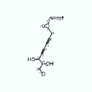 CCCCCCCC1OC1CC#CC#CC(O)C(O)CCl